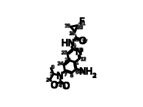 CC1COC(=O)N1c1cc(N)c2cnc(NC(=O)[C@@H]3C[C@@H]3F)cc2c1